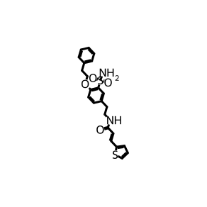 NS(=O)(=O)c1cc(CCNC(=O)C=Cc2cccs2)ccc1OCCc1ccccc1